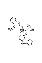 COc1ccccc1OCCNC(Oc1c(O)ccc2[nH]c3ccccc3c12)C(C)O